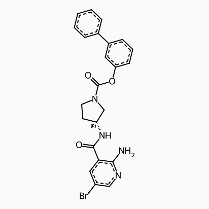 Nc1ncc(Br)cc1C(=O)N[C@@H]1CCN(C(=O)Oc2cccc(-c3ccccc3)c2)C1